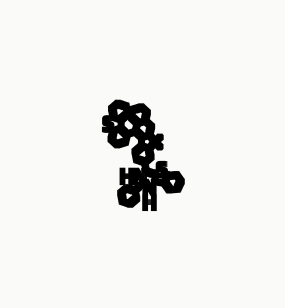 CC1(C)c2cc(C3=C4Sc5ccccc5C4NC(c4ccccc4)N3)ccc2-c2c1cc1ccccc1c2-c1cccc2sc3ccccc3c12